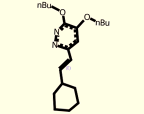 CCCCOc1cc(/C=C/C2CCCCC2)nnc1OCCCC